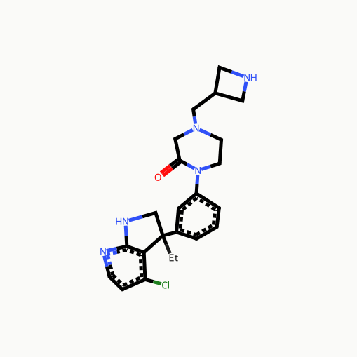 CCC1(c2cccc(N3CCN(CC4CNC4)CC3=O)c2)CNc2nccc(Cl)c21